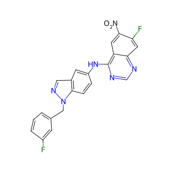 O=[N+]([O-])c1cc2c(Nc3ccc4c(cnn4Cc4cccc(F)c4)c3)ncnc2cc1F